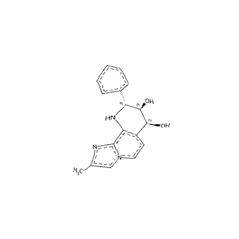 Cc1cn2ccc3c(c2n1)N[C@H](c1ccccc1)[C@@H](O)[C@H]3O